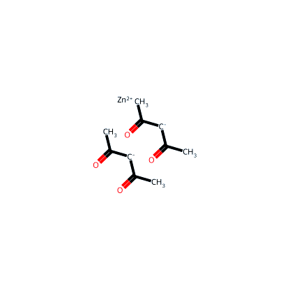 CC(=O)[CH-]C(C)=O.CC(=O)[CH-]C(C)=O.[Zn+2]